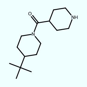 CC(C)(C)C1CCN(C(=O)C2CCNCC2)CC1